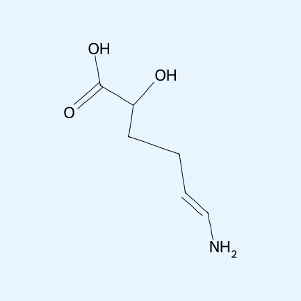 NC=CCCC(O)C(=O)O